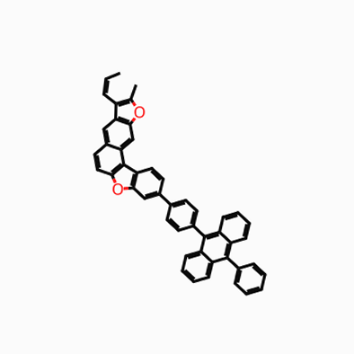 C/C=C\c1c(C)oc2cc3c(ccc4oc5cc(-c6ccc(-c7c8ccccc8c(-c8ccccc8)c8ccccc78)cc6)ccc5c43)cc12